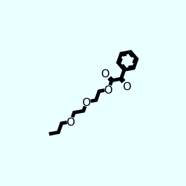 CCCOCCOCCOC(=O)C(=O)c1ccccc1